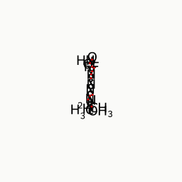 [2H]c1cc2cn(C3CCC(N4CCN(C5CC6(CCN(c7cc(F)c([C@H]8CCC(=O)NC8=O)c(F)c7)CC6)C5)CC4)CC3)nc2cc1C(C)(C)O